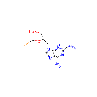 Nc1nc(N)c2ncn(CC(CO)OCP)c2n1